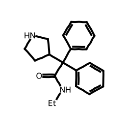 CCNC(=O)C(c1ccccc1)(c1ccccc1)C1CCNC1